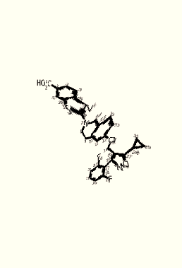 O=C(O)c1ccc2nc(N3CCc4cc(OCc5c(-c6c(F)cccc6F)noc5C5CC5)ccc4C3)sc2c1